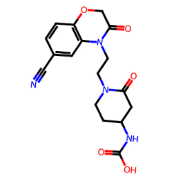 N#Cc1ccc2c(c1)N(CCN1CCC(NC(=O)O)CC1=O)C(=O)CO2